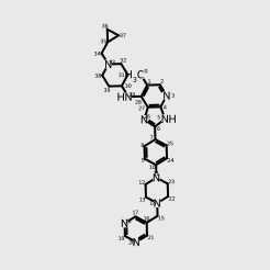 Cc1cnc2[nH]c(-c3ccc(N4CCN(Cc5cncnc5)CC4)cc3)nc2c1NC1CCN(CC2CC2)CC1